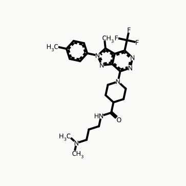 Cc1ccc(-n2nc3c(N4CCC(C(=O)NCCCN(C)C)CC4)nnc(C(F)(F)F)c3c2C)cc1